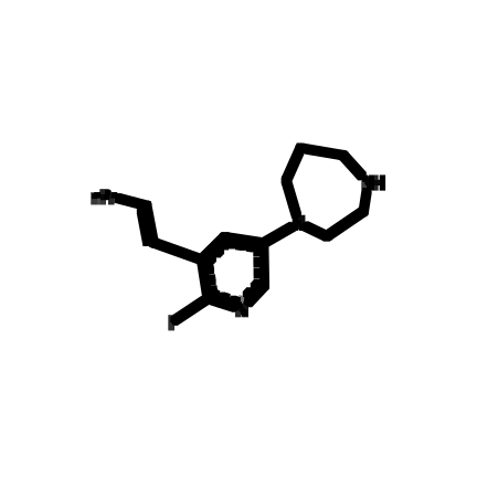 CCCC=Cc1cc(N2CCCNCC2)cnc1I